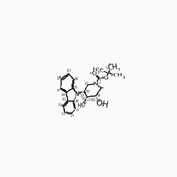 CC(C)(C)OC(=O)N1C[C@H](O)[C@@H](O)[C@@H](n2c3ccccc3c3ccccc32)C1